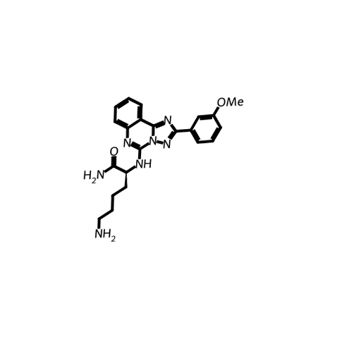 COc1cccc(-c2nc3c4ccccc4nc(N[C@@H](CCCCN)C(N)=O)n3n2)c1